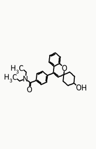 CCN(CC)C(=O)c1ccc(C2=CC3(CCC(O)CC3)Oc3ccccc32)cc1